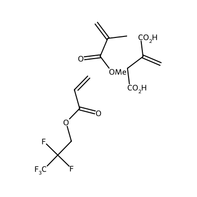 C=C(C)C(=O)OC.C=C(CC(=O)O)C(=O)O.C=CC(=O)OCC(F)(F)C(F)(F)F